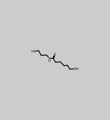 O=C(CCCCCO)NCCCS